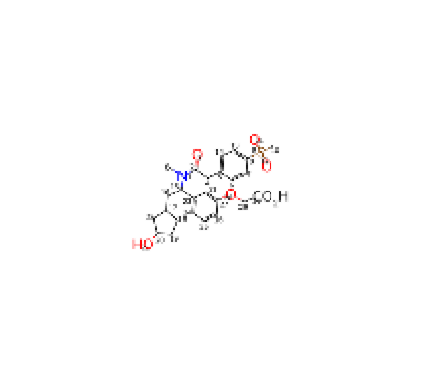 CN(C(=O)Cc1ccc(S(C)(=O)=O)cc1)C(CC1CCC(O)C1)c1cccc(OCC(=O)O)c1